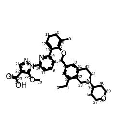 CCc1cc(COC2=C(C)CCC=C2c2cccc(-n3ncc(C(=O)O)c3OC)n2)cc2c1CN(C1CCOCC1)CC2